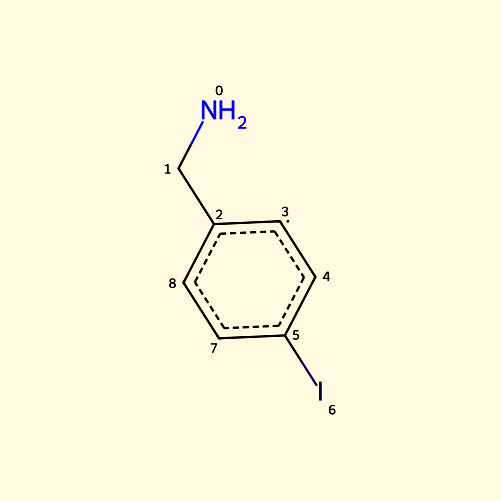 NCc1[c]cc(I)cc1